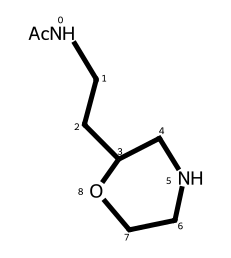 CC(=O)NCCC1CNCCO1